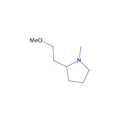 COCCC1CC[CH]N1C